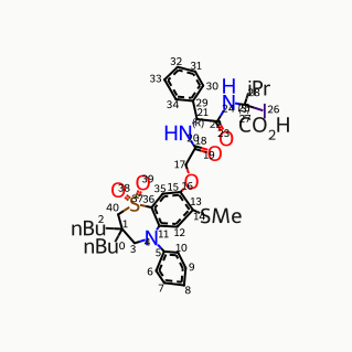 CCCCC1(CCCC)CN(c2ccccc2)c2cc(SC)c(OCC(=O)N[C@@H](C(=O)N[C@@](I)(C(=O)O)C(C)C)c3ccccc3)cc2S(=O)(=O)C1